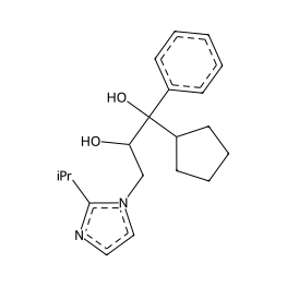 CC(C)c1nccn1CC(O)C(O)(c1ccccc1)C1CCCC1